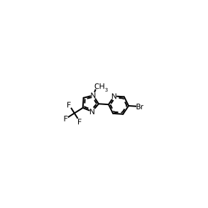 Cn1cc(C(F)(F)F)nc1-c1ccc(Br)cn1